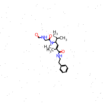 C/C(=C\C(C(C)C)N(C)C(=O)CNC=O)C(=O)NCCc1ccccc1